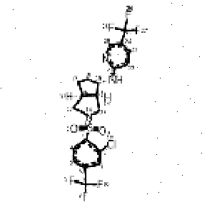 O=S(=O)(c1ccc(C(F)(F)F)cc1Cl)N1C[C@H]2CC[C@H](Nc3ccc(C(F)(F)F)cn3)[C@H]2C1